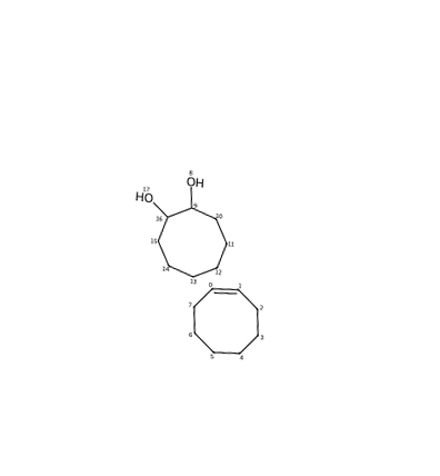 C1=CCCCCCC1.OC1CCCCCCC1O